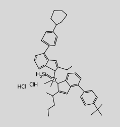 CCCC(C)C1=Cc2c(-c3ccc(C(C)(C)C)cc3)cccc2[CH]1[Zr]([CH3])([CH3])(=[SiH2])[CH]1C(CC)=Cc2c(-c3ccc(C4CCCCC4)cc3)cccc21.Cl.Cl